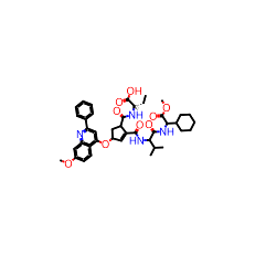 CC[C@H](NC(=O)C1CC(Oc2cc(-c3ccccc3)nc3cc(OC)ccc23)C=C1C(=O)NC(C(=O)NC(C(=O)OC)C1CCCCC1)C(C)C)C(=O)O